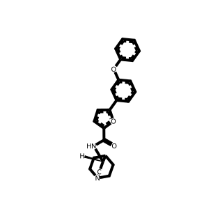 O=C(N[C@H]1CN2CCC1CC2)c1ccc(-c2cccc(Oc3ccccc3)c2)o1